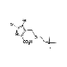 [2H]c1c(Br)nc(C(=O)O)n1COCC[Si](C)(C)C